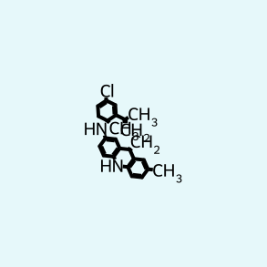 C=C(C)C1=CC(Cl)=CCC1(C)Nc1ccc2c(c1)C(=C)c1cc(C)ccc1N2